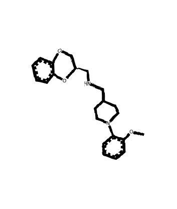 COc1ccccc1N1CCC(CNC[C@@H]2COc3ccccc3O2)CC1